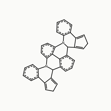 C1=C2C(=CC1)C1c3cccc4c3-c3c(cccc3N3c5ccccc5C5=CCC=C5C43)N1c1ccccc12